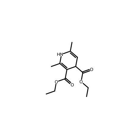 CCOC(=O)C1=C(C)NC(C)=CC1C(=O)OCC